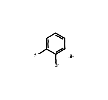 Brc1ccccc1Br.[LiH]